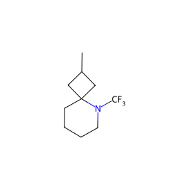 CC1CC2(CCCCN2C(F)(F)F)C1